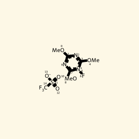 COc1nc(OC)[n+](F)c(OC)n1.O=S(=O)([O-])C(F)(F)F